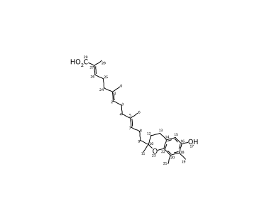 C/C(=C\CC/C(C)=C/CCC1(C)CCc2cc(O)c(C)c(C)c2O1)CC/C=C(\C)C(=O)O